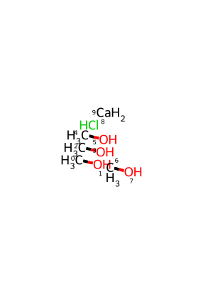 CO.CO.CO.CO.Cl.[CaH2]